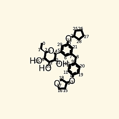 CC[C@H]1O[C@@H](c2cc(Cc3ccc(OC4CCOC4)cc3)cc(OC3CCCC3)c2)[C@H](O)[C@@H](O)[C@@H]1O